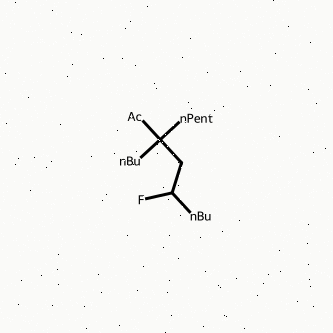 CCCCCC(CCCC)(CC(F)CCCC)C(C)=O